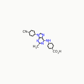 [C-]#[N+]c1ccc(-n2cnc3c(Nc4ccc(C(=O)O)cc4)nc(C)nc32)cc1